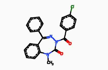 CN1C(=O)N(C(=O)c2ccc(Cl)cc2)N=C(c2ccccc2)c2ccccc21